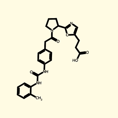 Cc1ccccc1NC(=O)Nc1ccc(CC(=O)N2CCCC2c2ncc(CCC(=O)O)o2)cc1